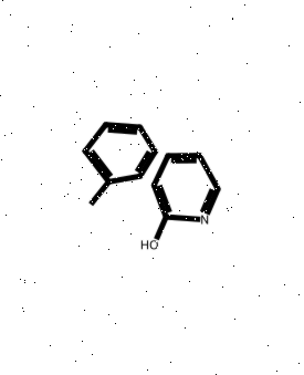 Cc1ccccc1.Oc1ccccn1